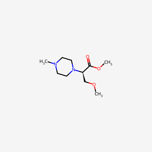 COC[C@H](C(=O)OC)N1CCN(C)CC1